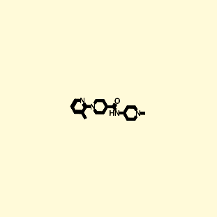 Cc1cccnc1N1CCC(C(=O)NC2CCN(C)CC2)CC1